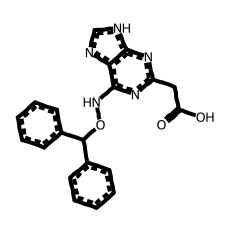 O=C(O)Cc1nc(NOC(c2ccccc2)c2ccccc2)c2nc[nH]c2n1